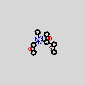 c1ccc(-c2nc(-c3ccc4oc5ccccc5c4c3)nc(-c3ccc(-c4cccc5c4sc4ccccc45)c4oc5ccccc5c34)n2)cc1